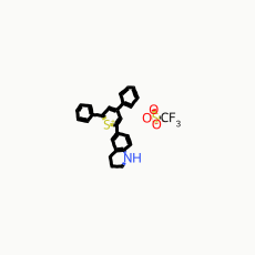 O=S(=O)([O-])C(F)(F)F.c1ccc(-c2cc(-c3ccccc3)[s+]c(-c3ccc4c(c3)CCCN4)c2)cc1